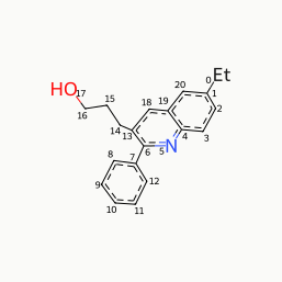 CCc1ccc2nc(-c3ccccc3)c(CCCO)cc2c1